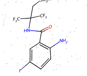 Nc1ccc(I)cc1C(=O)NC(CS(=O)(=O)O)(C(F)(F)F)C(F)(F)F